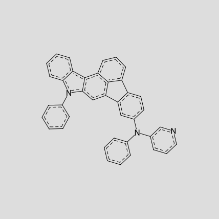 c1ccc(N(c2cccnc2)c2ccc3c(c2)-c2cc4c(c5cccc-3c25)c2ccccc2n4-c2ccccc2)cc1